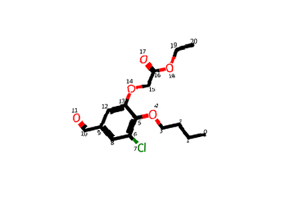 CCCCOc1c(Cl)cc(C=O)cc1OCC(=O)OCC